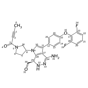 CC#CC(=O)N1CCC(n2cc(-c3ccc(Oc4c(F)cccc4F)cc3)c3c2[C@H](C=O)NN=C3N)C1